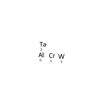 [Al].[Cr].[Ta].[W]